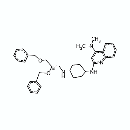 CN(C)c1cc(N[C@H]2CC[C@@H](NC[C@@H](COCc3ccccc3)OCc3ccccc3)CC2)nc2ccccc12